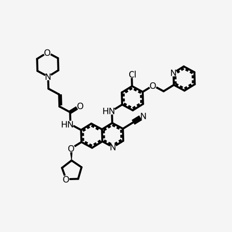 N#Cc1cnc2cc(O[C@H]3CCOC3)c(NC(=O)/C=C/CN3CCOCC3)cc2c1Nc1ccc(OCc2ccccn2)c(Cl)c1